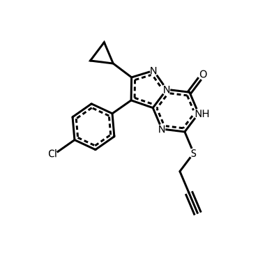 C#CCSc1nc2c(-c3ccc(Cl)cc3)c(C3CC3)nn2c(=O)[nH]1